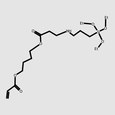 C=CC(=O)OCCCCOC(=O)CCNCCC[Si](OCC)(OCC)OCC